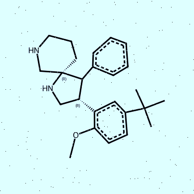 COc1ccc(C(C)(C)C)cc1[C@@H]1CN[C@]2(CCCNC2)C1c1ccccc1